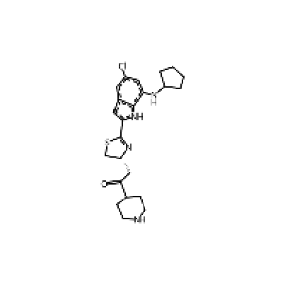 O=C(C[C@@H]1CSC(c2cc3cc(Cl)cc(NC4CCCC4)c3[nH]2)=N1)C1CCNCC1